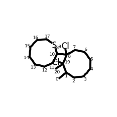 CC1CCCCCCC(Cl)(C2CCCCCCCS2)C1(C)Cl